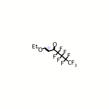 CCO/C=C/C(=O)C(F)(F)C(F)(F)C(F)(F)C(F)(F)F